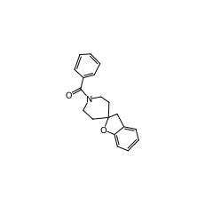 O=C(c1ccccc1)N1CCC2(CC1)Cc1ccccc1O2